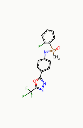 CS(=O)(=Nc1ccc(-c2nnc(C(F)(F)F)o2)cc1)c1ccccc1F